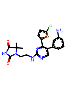 CC1(C)C(=O)NC(=O)N1CCNc1ncc(-c2cccc(N)c2)c(-c2ccc(Cl)s2)n1